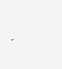 Cc1ccc(N[C@H](C)C(=O)O)cc1